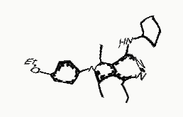 CCOc1ccc(-n2c(C)c3c(C)nnc(NC4CCCC4)c3c2C)cc1